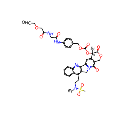 CC[C@@]1(OC(=O)OCc2ccc(NC(=O)CNC(=O)COCC=O)cc2)C(=O)OCc2c1cc1n(c2=O)Cc2c-1nc1ccccc1c2CCN(C(C)C)S(C)(=O)=O